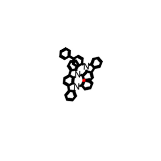 C1=CC(n2c3ccccc3c3cccc(-n4c5ccccc5c5ccc6c7ccccc7n(-c7ccccc7)c6c54)c32)CC=C1c1ccccc1